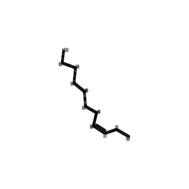 CC/C=C\CCCCCCC